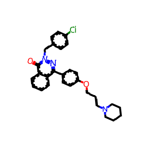 O=c1c2ccccc2c(-c2ccc(OCCCN3CCCCC3)cc2)nn1Cc1ccc(Cl)cc1